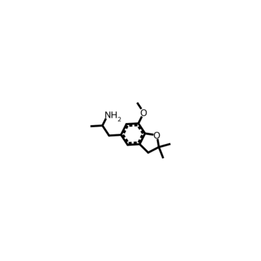 COc1cc(CC(C)N)cc2c1OC(C)(C)C2